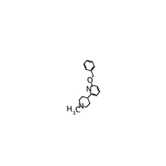 CN1CCC(c2cccc(OCc3ccccc3)n2)CC1